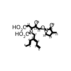 C=CC=C(C=CC)CN(C(=O)O)C(CC(=O)O)C(=O)CON1CCC(C)C1=O